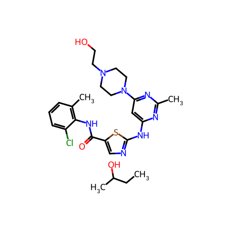 CCC(C)O.Cc1nc(Nc2ncc(C(=O)Nc3c(C)cccc3Cl)s2)cc(N2CCN(CCO)CC2)n1